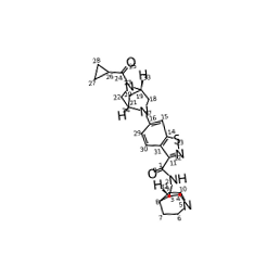 O=C(N[C@@H]1CN2CCC1CC2)c1nsc2cc(N3C[C@@H]4C[C@H]3CN4C(=O)C3CC3)ccc12